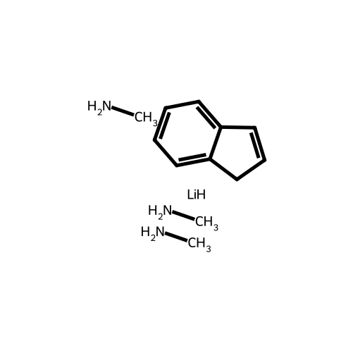 C1=Cc2ccccc2C1.CN.CN.CN.[LiH]